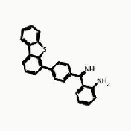 N=C(c1ccc(-c2cccc3c2sc2ccccc23)cc1)c1ccccc1N